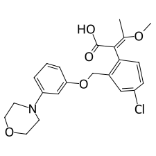 COC(C)=C(C(=O)O)c1ccc(Cl)cc1COc1cccc(N2CCOCC2)c1